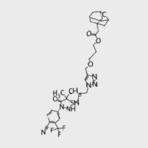 CC1(C)C(=O)N(c2ccc(C#N)c(C(F)(F)F)c2)N[SH]1CCCn1cc(COCCCOC(=O)CC23CC4CC(CC(C4)C2)C3)nn1